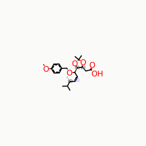 COc1ccc(COC(/C=C\[C@@H](C)C(C)C)[C@H]2OC(C)(C)O[C@H]2CC(=O)O)cc1